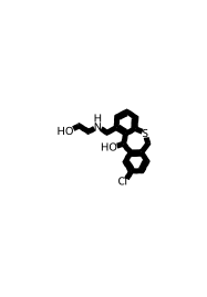 OCCNCc1cccc2c1C(O)c1cc(Cl)ccc1CS2